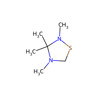 CN1CSN(C)C1(C)C